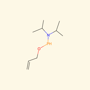 C=CCOPN(C(C)C)C(C)C